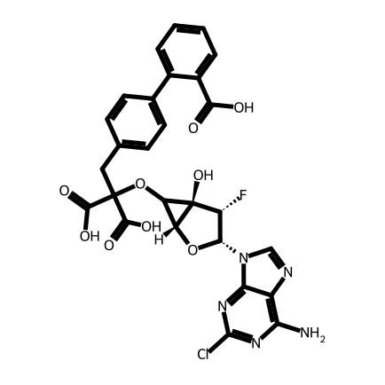 Nc1nc(Cl)nc2c1ncn2[C@@H]1O[C@@H]2C(OC(Cc3ccc(-c4ccccc4C(=O)O)cc3)(C(=O)O)C(=O)O)[C@]2(O)[C@@H]1F